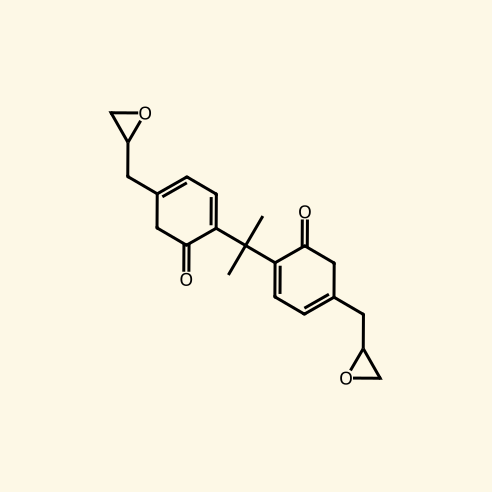 CC(C)(C1=CC=C(CC2CO2)CC1=O)C1=CC=C(CC2CO2)CC1=O